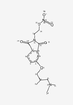 CC(COc1ccc2c(c1)C(=O)N(CCO[N+](=O)[O-])C2=O)CN(C)C